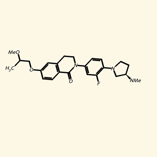 CN[C@@H]1CCN(c2ccc(N3CCc4cc(OCC(C)OC)ccc4C3=O)cc2F)C1